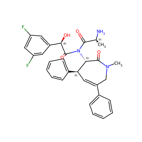 C[C@H](N)C(=O)N(C(=O)[C@H](O)c1cc(F)cc(F)c1)[C@@H]1C(=O)N(C)CC(c2ccccc2)=C[C@H]1c1ccccc1